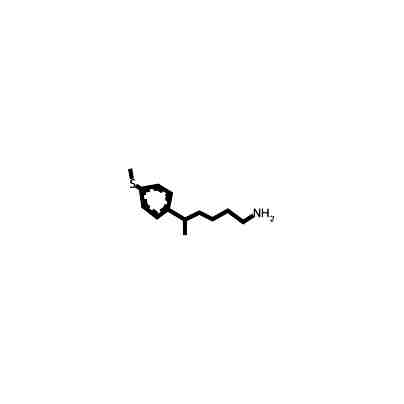 CSc1ccc([C](C)CCCCN)cc1